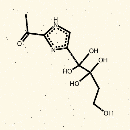 CC(=O)c1nc(C(O)(O)C(O)(O)CCO)c[nH]1